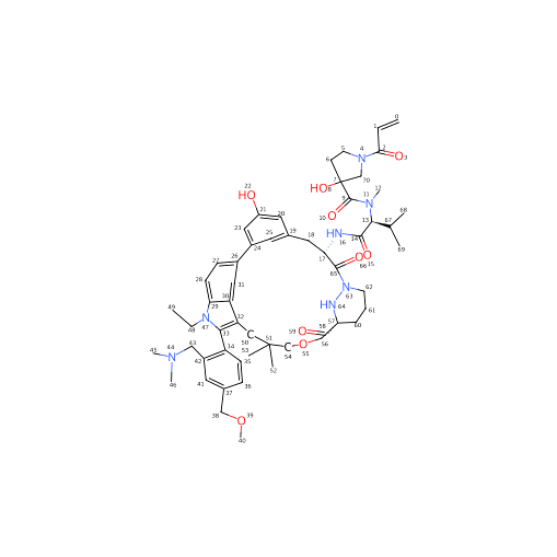 C=CC(=O)N1CCC(O)(C(=O)N(C)[C@H](C(=O)N[C@H]2Cc3cc(O)cc(c3)-c3ccc4c(c3)c(c(-c3ccc(COC)cc3CN(C)C)n4CC)CC(C)(C)COC[C@@]3(C=O)CCCN(N3)C2=O)C(C)C)C1